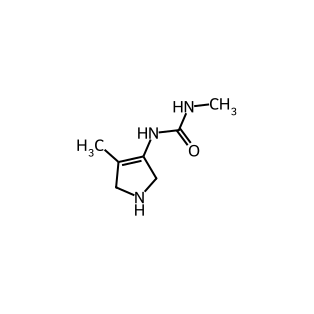 CNC(=O)NC1=C(C)CNC1